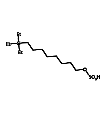 CC[Si](CC)(CC)CCCCCCCCOS(=O)(=O)O